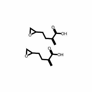 C=C(CCC1CO1)C(=O)O.C=C(CCC1CO1)C(=O)O